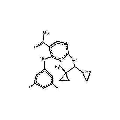 NC(=O)c1cnc(NC(C2CC2)C2(N)CC2)nc1Nc1cc(F)cc(F)c1